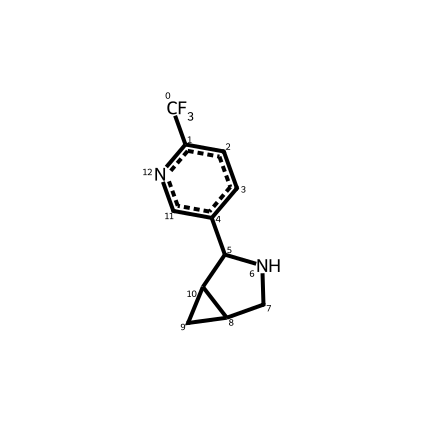 FC(F)(F)c1ccc(C2NCC3CC32)cn1